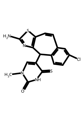 Cn1cc(C2c3ccc(Cl)cc3C=Cc3sc(N)nc32)c(=S)[nH]c1=O